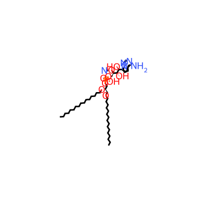 CCCCCCCCCCCCCCCCOC[C@H](COP(=O)(O)OC[C@@H](OC#N)[C@@H](O)[C@@H](O)c1ccc2c(N)ncnn12)OCCCCCCCCCCCCCCCC